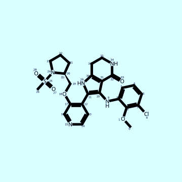 COc1c(Cl)cccc1Nc1c(-c2ccncc2OC[C@@H]2CCCN2S(C)(=O)=O)[nH]c2c1C(=O)NCC2